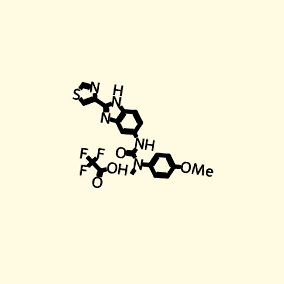 COc1ccc(N(C)C(=O)Nc2ccc3[nH]c(-c4cscn4)nc3c2)cc1.O=C(O)C(F)(F)F